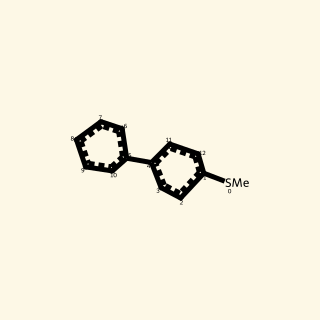 CSc1ccc(-c2[c]cccc2)cc1